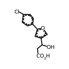 O=C(O)CC(O)c1coc(-c2ccc(Cl)cc2)c1